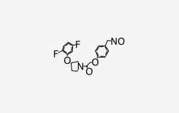 O=NCc1ccc(OCC(=O)N2CCC(Oc3cc(F)ccc3F)C2)cc1